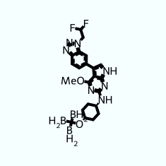 BC(B)(B)O[C@H]1CC[C@@H](Nc2nc(OC)c3c(-c4ccc5nnn(CC(F)F)c5c4)c[nH]c3n2)CC1